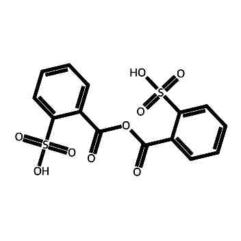 O=C(OC(=O)c1ccccc1S(=O)(=O)O)c1ccccc1S(=O)(=O)O